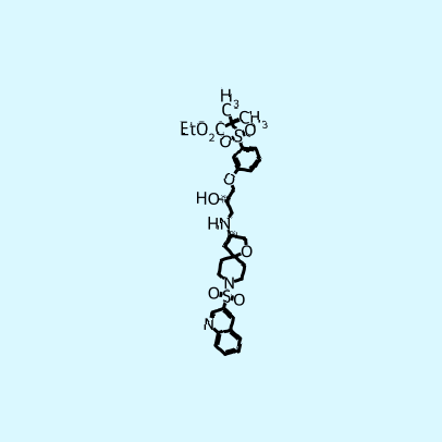 CCOC(=O)C(C)(C)S(=O)(=O)c1cccc(OC[C@@H](O)CN[C@H]2COC3(CCN(S(=O)(=O)c4cnc5ccccc5c4)CC3)C2)c1